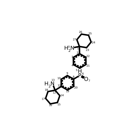 NC1(c2ccc([PH](=O)c3ccc(C4(N)CCCCC4)cc3)cc2)CCCCC1